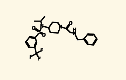 CC(C)N(C1CCN(C(=O)CNCc2ccccc2)CC1)S(=O)(=O)c1cccc(C(F)(F)F)c1